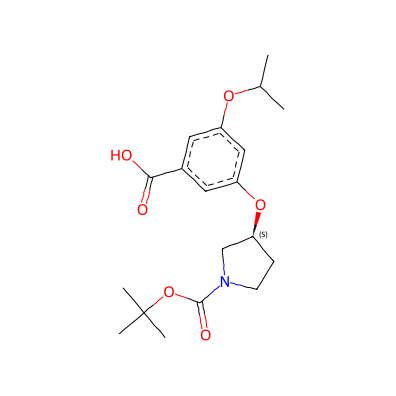 CC(C)Oc1cc(O[C@H]2CCN(C(=O)OC(C)(C)C)C2)cc(C(=O)O)c1